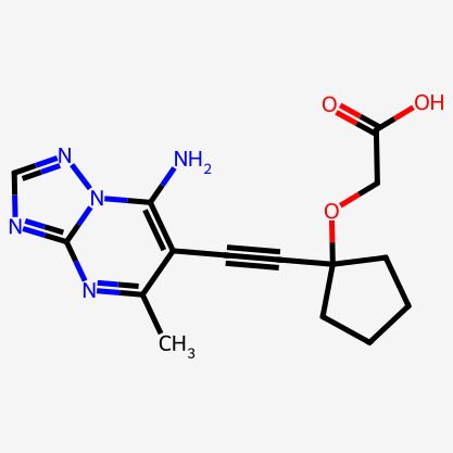 Cc1nc2ncnn2c(N)c1C#CC1(OCC(=O)O)CCCC1